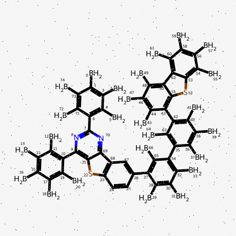 Bc1c(B)c(B)c(-c2nc(-c3c(B)c(B)c(B)c(B)c3B)c3sc4ccc(-c5c(B)c(B)c(B)c(-c6c(B)c(B)c(B)c(-c7c(B)c(B)c(B)c8c7sc7c(B)c(B)c(B)c(B)c78)c6B)c5B)cc4c3n2)c(B)c1B